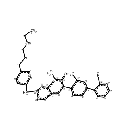 CCNCCCc1ccc(Nc2ncc3cc(-c4ccc(-c5cccnc5F)cc4Cl)c(=O)n(C)c3n2)cc1